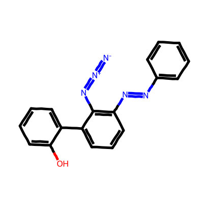 [N-]=[N+]=Nc1c(N=Nc2ccccc2)cccc1-c1ccccc1O